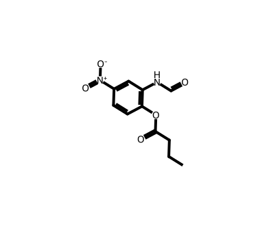 CCCC(=O)Oc1ccc([N+](=O)[O-])cc1NC=O